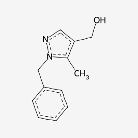 Cc1c(CO)cnn1Cc1ccccc1